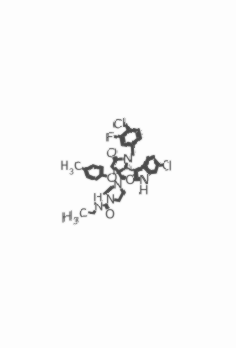 CCNC(=O)N1CCN(C(=O)[C@]2(Oc3ccc(C)cc3)CC(=O)N(Cc3ccc(Cl)c(F)c3)[C@H]2c2c[nH]c3cc(Cl)ccc23)CC1